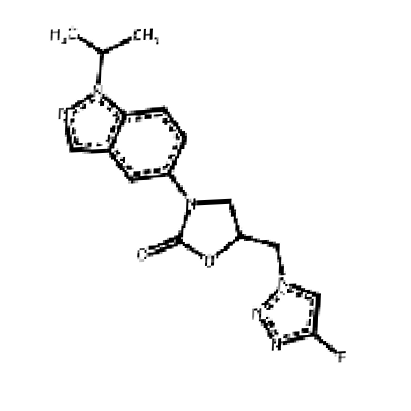 CC(C)n1ncc2cc(N3CC(Cn4cc(F)nn4)OC3=O)ccc21